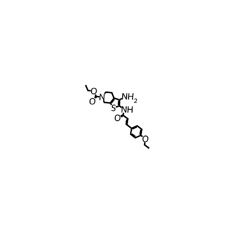 CCOC(=O)N1CCc2c(sc(NC(=O)/C=C/c3ccc(OCC)cc3)c2N)C1